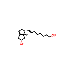 OCCCCCCC=C[C@H]1CC=C2C[C@H](O)C[C@H]21